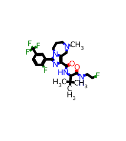 CN1CCCn2c(-c3cc(C(F)(F)F)ccc3F)nc(C(=O)NC(C(=O)NCCF)C(C)(C)C)c2C1